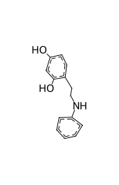 Oc1ccc(CCNc2ccccc2)c(O)c1